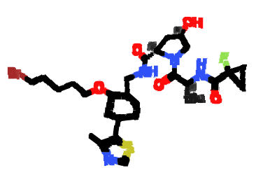 Cc1ncsc1-c1ccc(CNC(=O)[C@@H]2C[C@@H](O)CN2C(=O)[C@@H](NC(=O)C2(F)CC2)C(C)(C)C)c(OCCCCCBr)c1